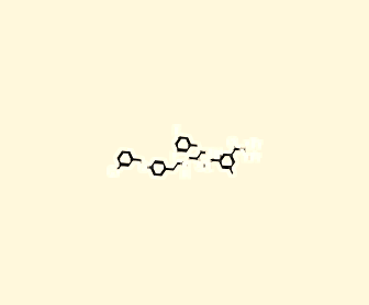 CCCN(CCC)C(=O)c1cc(C)cc(C(=O)N[C@@H](Cc2cc(F)cc(F)c2)[C@H](O)CNCCc2ccc(OCc3cccc(Cl)c3)cc2)c1